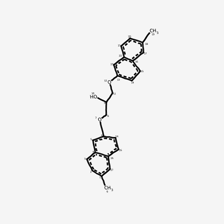 Cc1ccc2cc(OCC(O)COc3ccc4cc(C)ccc4c3)ccc2c1